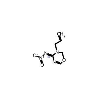 C=CCN1COC=N/C1=N\[N+](=O)[O-]